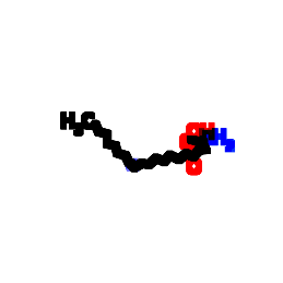 CCCCCCCC/C=C\CCCCCCCC(=O)C1CC1(N)C(=O)O